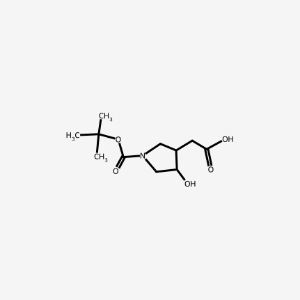 CC(C)(C)OC(=O)N1CC(O)C(CC(=O)O)C1